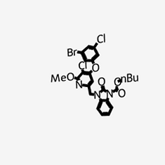 CCCCOC(=O)n1c(=O)n(Cc2cc(Oc3cc(Cl)cc(Br)c3)c(Cl)c(OC)n2)c2ccccc21